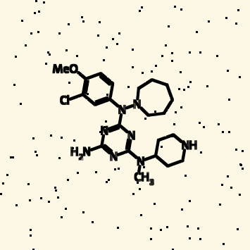 COc1ccc(N(c2nc(N)nc(N(C)C3CCNCC3)n2)N2CCCCCC2)cc1Cl